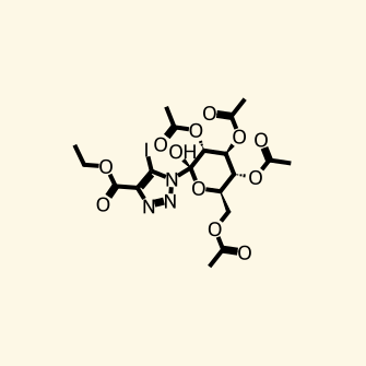 CCOC(=O)c1nnn([C@@]2(O)O[C@H](COC(C)=O)[C@@H](OC(C)=O)[C@H](OC(C)=O)[C@H]2OC(C)=O)c1I